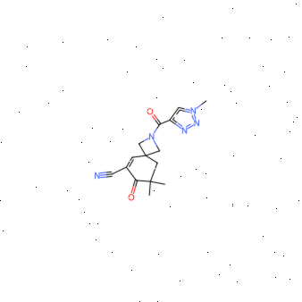 Cn1cc(C(=O)N2CC3(C=C(C#N)C(=O)C(C)(C)C3)C2)nn1